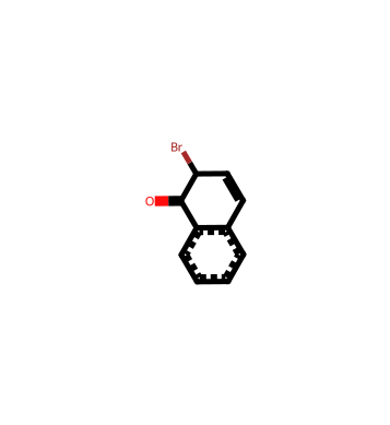 O=C1c2ccccc2C=CC1Br